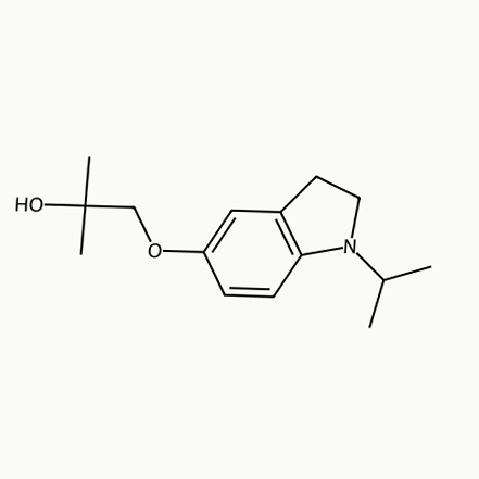 CC(C)N1CCc2cc(OCC(C)(C)O)ccc21